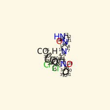 CN(C[C@@H](CCN1CCC(N2CCCNC2=O)CC1)c1ccc(Cl)c(Cl)c1)C(=O)c1ccccc1.O=C(O)C=CC(=O)O